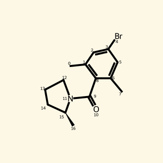 Cc1cc(Br)cc(C)c1C(=O)N1CCC[C@@H]1C